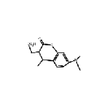 CC1c2ccc(N(C)C)cc2OC(=O)C1CC(=O)O